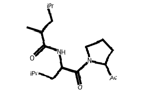 CC(=O)C1CCCN1C(=O)C(CC(C)C)NC(=O)C(C)CC(C)C